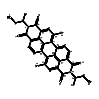 CC(C)CC(C)N1C(=O)c2ccc3c4c(Br)cc5c6c(ccc(c7c(Br)cc(c2c37)C1=O)c64)C(=O)N(C(C)CC(C)C)C5=O